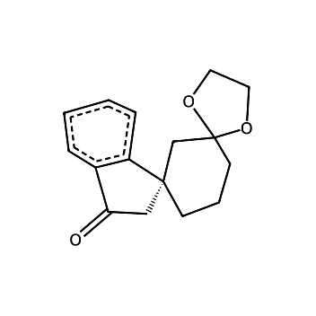 O=C1C[C@]2(CCCC3(C2)OCCO3)c2ccccc21